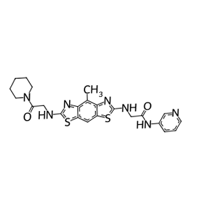 Cc1c2nc(NCC(=O)Nc3cccnc3)sc2cc2sc(NCC(=O)N3CCCCC3)nc12